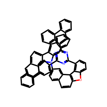 c1ccc(-c2ccc(-c3nc(-c4cc5ccccc5c5ccccc45)nc(-c4cccc5oc6ccc7ccc(-n8c9cc%10ccccc%10cc9c9ccc%10ccccc%10c98)cc7c6c45)n3)cc2)cc1